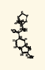 O=C(NC1CC2CCC1N2)c1ccn2cc(Br)nc2c1